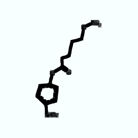 CC(=O)Nc1ccc(OC(=O)CCCCO[N+](=O)[O-])cc1